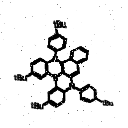 CC(C)(C)C1=CCC2C(=C1)B1c3cc(C(C)(C)C)ccc3N(c3ccc(C(C)(C)C)cc3)c3c1c(cc1ccccc31)N2c1ccc(C(C)(C)C)cc1